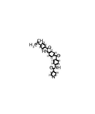 CN(C)c1ccc(C(=O)Nc2ccc(C(=O)c3ccc(NC(=O)c4ccncc4)cc3)cc2)cc1